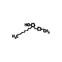 C=Cc1ccc(Cc2cccc(O)c2CCCCCCCCC)cc1